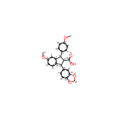 COc1ccc(C2c3cc(OC)ccc3C(c3ccc4c(c3)OCO4)C2C(=O)O)cc1